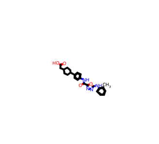 Cc1ccccc1Nc1nnc(C(=O)Nc2ccc(C3CCC(CC(=O)O)CC3)cc2)o1